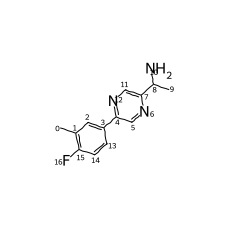 Cc1cc(-c2cnc(C(C)N)cn2)ccc1F